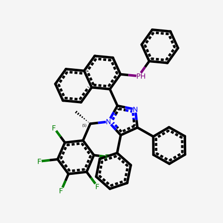 C[C@@H](c1c(F)c(F)c(F)c(F)c1F)n1c(-c2c(Pc3ccccc3)ccc3ccccc23)nc(-c2ccccc2)c1-c1ccccc1